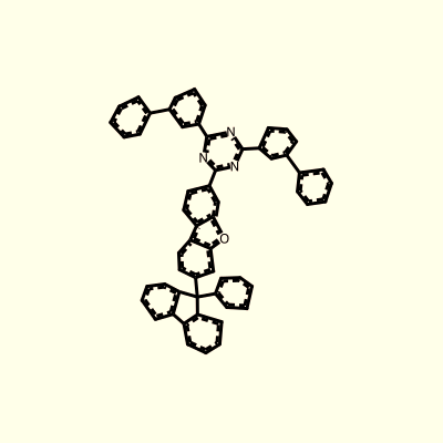 c1ccc(-c2cccc(-c3nc(-c4cccc(-c5ccccc5)c4)nc(-c4ccc5c(c4)oc4cc(C6(c7ccccc7)c7ccccc7-c7ccccc76)ccc45)n3)c2)cc1